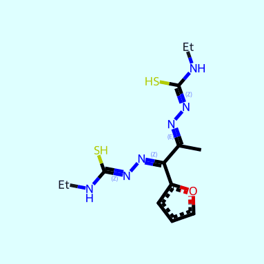 CCN/C(S)=N/N=C(/C(C)=N/N=C(\S)NCC)c1ccco1